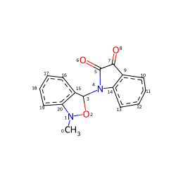 CN1OC(N2C(=O)C(=O)c3ccccc32)c2ccccc21